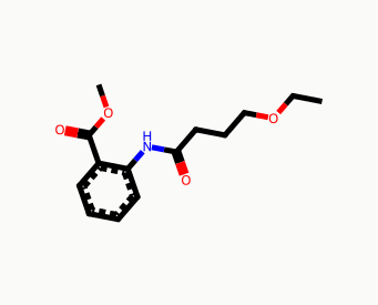 CCOCCCC(=O)Nc1ccccc1C(=O)OC